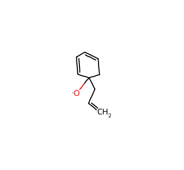 C=CCC1([O])C=CC=CC1